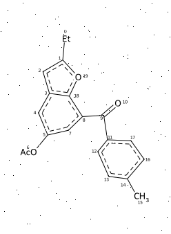 CCc1cc2cc(OC(C)=O)cc(C(=O)c3ccc(C)cc3)c2o1